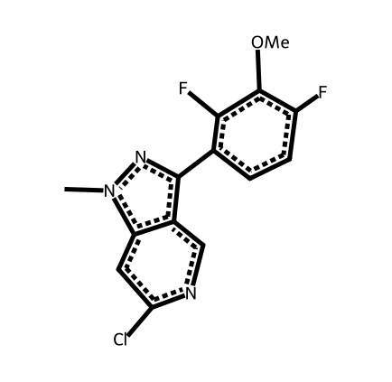 COc1c(F)ccc(-c2nn(C)c3cc(Cl)ncc23)c1F